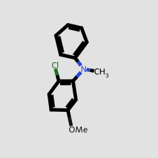 COc1ccc(Cl)c(N(C)c2ccccc2)c1